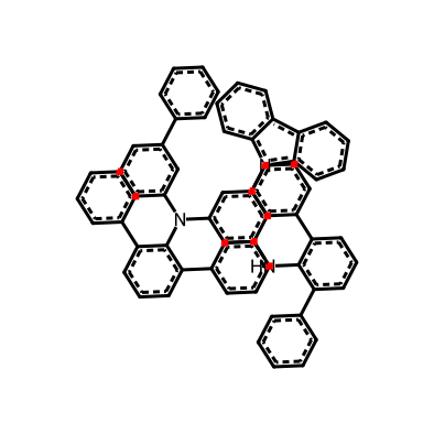 c1ccc(-c2cccc(N(c3cc(Nc4c(-c5ccccc5)cccc4-c4ccccc4)cc(-n4c5ccccc5c5ccccc54)c3)c3c(-c4ccccc4)cccc3-c3ccccc3)c2)cc1